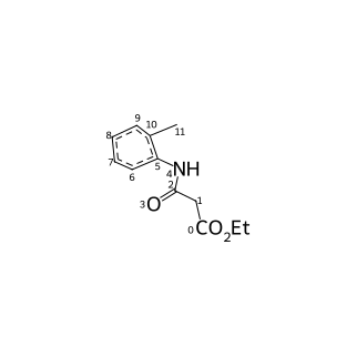 CCOC(=O)CC(=O)Nc1ccccc1C